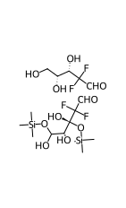 C[Si](C)(C)OC(O)[C@@H](O)[C@@](O)(O[Si](C)(C)C)C(F)(F)C=O.O=CC(F)(F)[C@@H](O)[C@H](O)CO